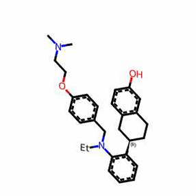 CCN(Cc1ccc(OCCN(C)C)cc1)c1ccccc1[C@@H]1CCc2cc(O)ccc2C1